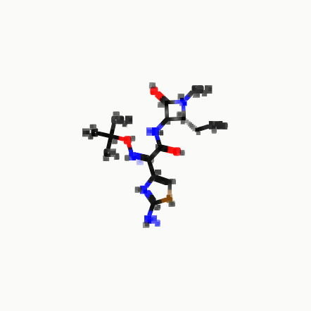 CNC[C@@H]1C(NC(=O)/C(=N\OC(C)(C)C(=O)O)c2csc(N)n2)C(=O)N1S(=O)(=O)O